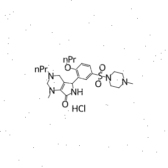 CCCOc1ccc(S(=O)(=O)N2CCN(C)CC2)cc1C1NC(=O)C2=C1CN(CCC)CN2C.Cl